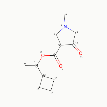 CB(OC(=O)C1CN(C)CC1=O)C1CCC1